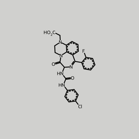 O=C(O)CN1CCN2C(=O)C(NC(=O)Nc3ccc(Cl)cc3)N=C(c3ccccc3F)c3cccc1c32